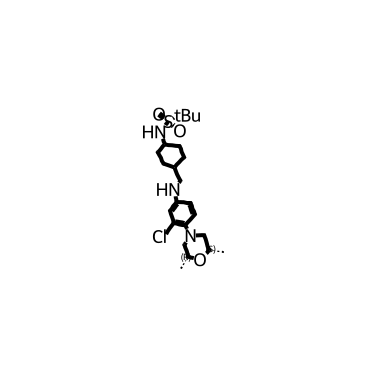 C[C@@H]1CN(c2ccc(NCC3CCC(NS(=O)(=O)C(C)(C)C)CC3)cc2Cl)C[C@H](C)O1